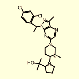 Cc1nn(C(C)c2ccc(Cl)cc2Cl)c2nc(N3CCC(N4CCCC4C(C)(C)O)[C@H](C)C3)cnc12